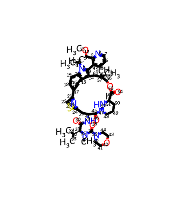 CCn1c(-c2cccnc2[C@H](C)OC)c2c3cc(ccc31)-c1csc(n1)C[C@H](NC(=O)[C@H](C(C)C)N(C)C(=O)N1CCOCC1)C(=O)N1CCC[C@H](N1)C(=O)OCC(C)(C)C2